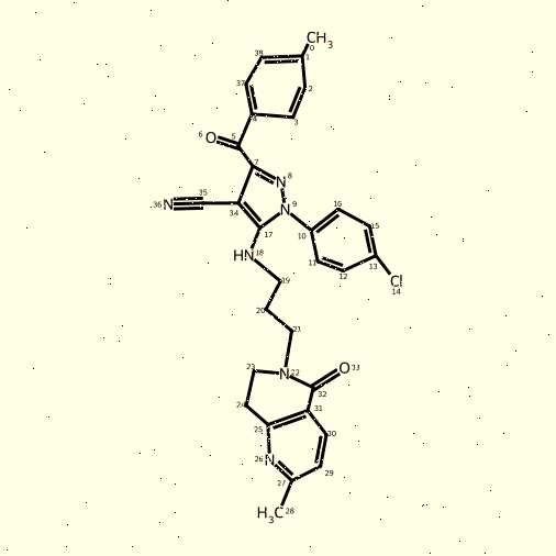 Cc1ccc(C(=O)c2nn(-c3ccc(Cl)cc3)c(NCCCN3CCc4nc(C)ccc4C3=O)c2C#N)cc1